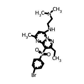 CCc1nn2c(NCCN(C)C)cc(C)nc2c1S(=O)(=O)c1ccc(Br)cc1